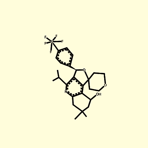 CC(C)c1nc2c(c3c1[C@@H](c1ccc(S(F)(F)(F)(F)F)cc1)OC31CCOCC1)C(O)CC(C)(C)C2